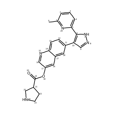 Cc1cccc(-c2[nH]ncc2-c2ccc3ncc(OC(=O)C4CCNC4)cc3c2)n1